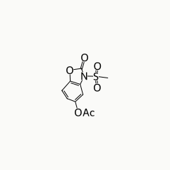 CC(=O)Oc1ccc2oc(=O)n(S(C)(=O)=O)c2c1